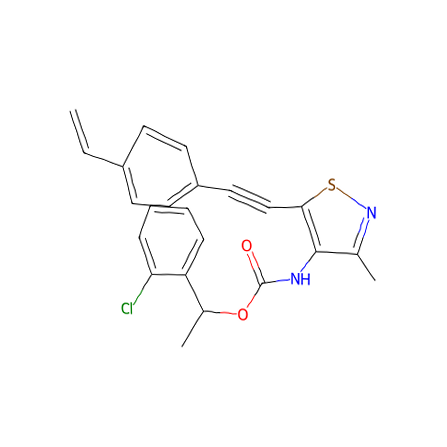 C=Cc1ccc(C#Cc2snc(C)c2NC(=O)OC(C)c2ccccc2Cl)cc1